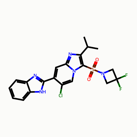 CC(C)c1nc2cc(-c3nc4ccccc4[nH]3)c(Cl)cn2c1S(=O)(=O)N1CC(F)(F)C1